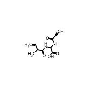 C#CC(=O)NC(NC(=O)C(C)C=C)C(=O)O